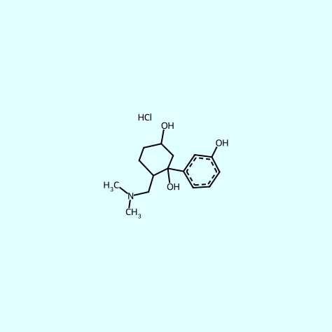 CN(C)CC1CCC(O)CC1(O)c1cccc(O)c1.Cl